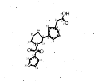 O=C(O)Cc1cccc(C2CCCN(S(=O)(=O)c3ccsc3)C2)c1